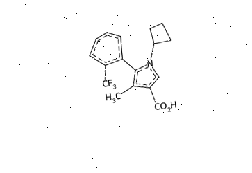 Cc1c(C(=O)O)cn(C2CCC2)c1-c1ccccc1C(F)(F)F